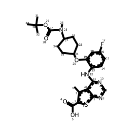 Cc1c(C(=O)O)sc2ncnc(Nc3ccc(F)cc3OC3CCC(N(C)C(=O)OC(C)(C)C)CC3)c12